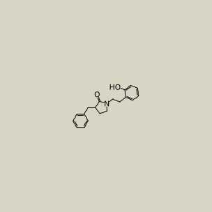 O=C1C(Cc2ccccc2)CCN1CCc1ccccc1O